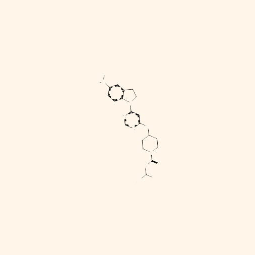 CC(C)OC(=O)N1CCC(Oc2cc(N3CCc4cc([S+](C)[O-])ccc43)ncn2)CC1